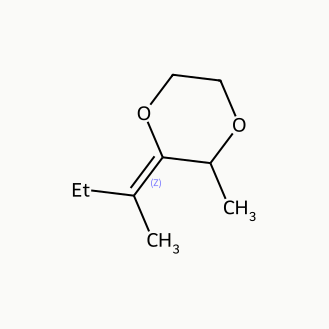 CC/C(C)=C1\OCCOC1C